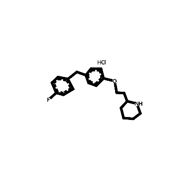 Cl.Fc1ccc(Cc2ccc(OCCC3CCCCN3)cc2)cc1